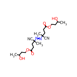 CC(O)CCOC(=O)CCC(C)(C#N)N=NC(C)(C#N)CCC(=O)OCCC(C)O